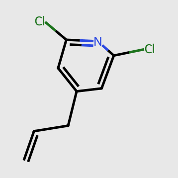 C=CCc1cc(Cl)nc(Cl)c1